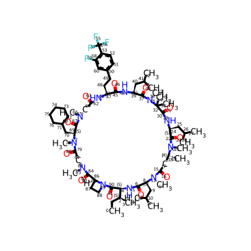 CC[C@H](C)[C@@H]1NC(=O)[C@H](CC(C)C)N(C)C(=O)C[C@@H](C)N(C)C(=O)[C@H](CC(C)C)NC(=O)C(C)(C)N(C)C(=O)[C@H](CC(C)C)NC(=O)[C@H](CCc2ccc(C(F)(F)F)c(F)c2)NC(=O)CN(C)C(=O)[C@H](CC2CCCCC2)N(C)C(=O)CN(C)C(=O)[C@@H]2CCN2C1=O